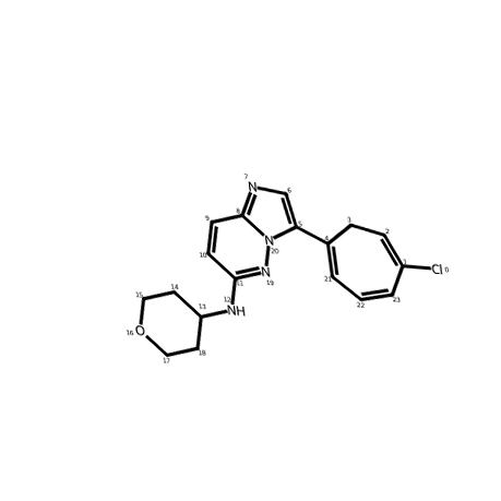 ClC1=CCC(c2cnc3ccc(NC4CCOCC4)nn23)=CC=C1